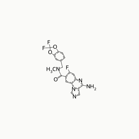 CN(Cc1ccc2c(c1)OC(F)(F)O2)C(=O)c1cc2c(cc1F)nc(N)c1cncn12